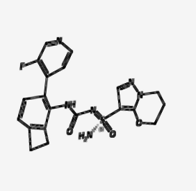 N[S@](=O)(=NC(=O)Nc1c(-c2ccncc2F)ccc2c1CC2)c1cnn2c1OCCC2